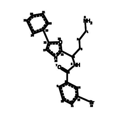 NCCCC(NC(=O)c1cccc(Br)c1)c1ncc(-c2ccccc2)o1